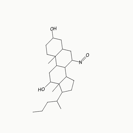 CCCC(C)C1CCC2C3C(N=O)CC4CC(O)CCC4(C)C3CC(O)C12C